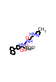 Cc1ccnc(NCCCC(=O)NCC(=O)NC(CC(=O)[O-])c2ccc(-c3cccc4ccccc34)cc2O)c1.[Na+]